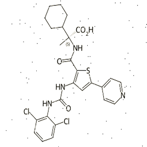 C[C@@](NC(=O)c1sc(-c2ccncc2)cc1NC(=O)Nc1c(Cl)cccc1Cl)(C(=O)O)C1CCCCC1